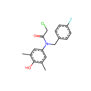 Cc1cc(N(Cc2ccc(F)cc2)C(=O)CCl)cc(C)c1O